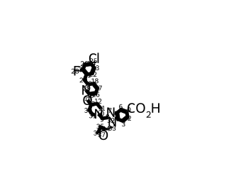 O=C(O)c1ccc2c(c1)nc(CN1CCC(Oc3cccc(Cc4ccc(Cl)cc4F)n3)CC1)n2C[C@@H]1CCO1